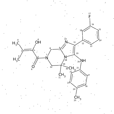 CC(C)=C(O)C(=O)N1Cc2nc(-c3cccc(F)c3)c(Nc3ccc(C)cc3)n2C(C)(C)C1